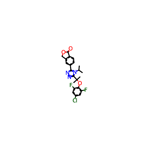 CC(C)n1c(-c2ccc3c(c2)COC3=O)nnc1C(C)(C)Oc1c(F)cc(Cl)cc1F